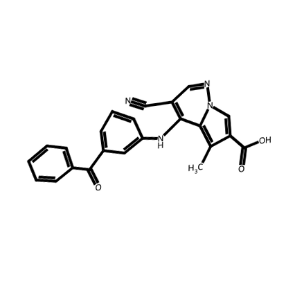 Cc1c(C(=O)O)cn2ncc(C#N)c(Nc3cccc(C(=O)c4ccccc4)c3)c12